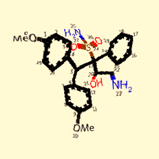 COc1ccc(C(c2ccc(OC)cc2)C(c2ccccc2)(C(O)CN)S(N)(=O)=O)cc1